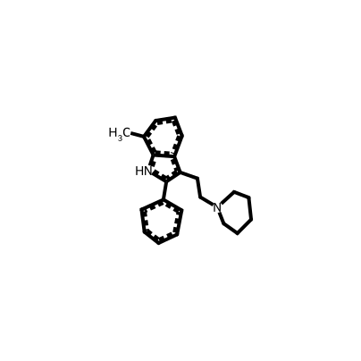 Cc1cccc2c(CCN3CCCCC3)c(-c3ccccc3)[nH]c12